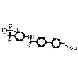 CCCCCCCCOc1ccc(-c2ccc(C(=O)Nc3ccc(C(F)(F)P(=O)(O)O)cc3)cc2)cc1